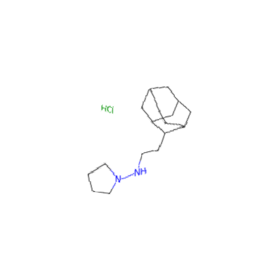 C1CCN(NCCC2C3CC4CC(C3)CC2C4)C1.Cl